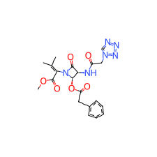 COC(=O)C(=C(C)C)N1C(=O)[C@@H](NC(=O)Cn2cnnn2)[C@H]1OC(=O)Cc1ccccc1